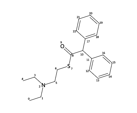 CCN(CC)CCSC(=O)C(c1ccccc1)c1ccccc1